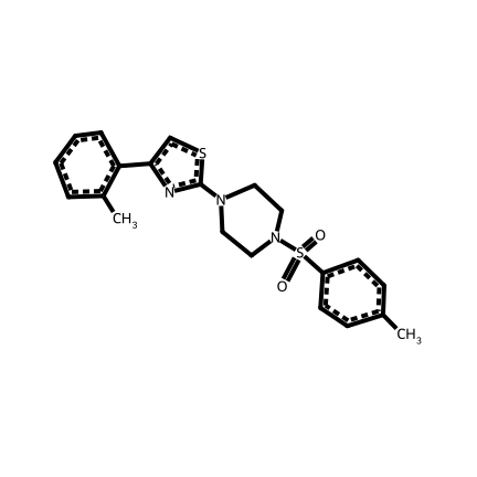 Cc1ccc(S(=O)(=O)N2CCN(c3nc(-c4ccccc4C)cs3)CC2)cc1